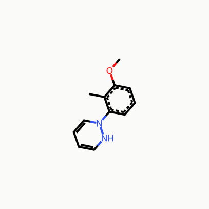 COc1cccc(N2C=CC=CN2)c1C